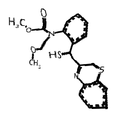 COCN(C(=O)OC)c1ccccc1C(S)C1=Nc2ccccc2SC1